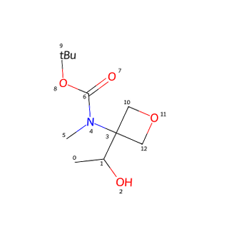 CC(O)C1(N(C)C(=O)OC(C)(C)C)COC1